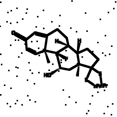 CCCSC1(SCCC)CC[C@H]2[C@@H]3CCC4=CC(=O)C=C[C@]4(C)[C@@]3(F)[C@@H](O)C[C@@]21C